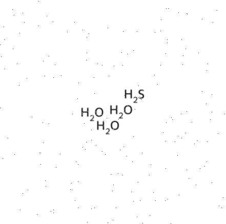 O.O.O.S